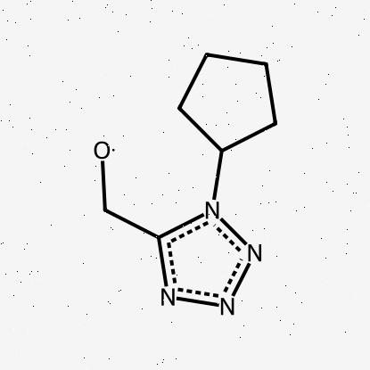 [O]Cc1nnnn1C1CCCC1